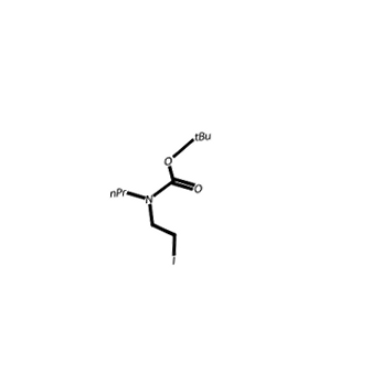 CCCN(CCI)C(=O)OC(C)(C)C